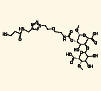 CO[C@@H]1OC(C(=O)O)[C@@H](OC2O[C@@H](C(=O)O)[C@@H](OC)C(O)C2O)C(O)[C@@H]1OC(=O)NCCOCCn1cc(CNC(=O)CCS)nn1